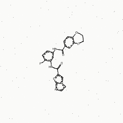 O=C(Nc1ccc(F)c(NC(=O)c2cn3ccnc3s2)c1)c1ccc2c(c1)OCCO2